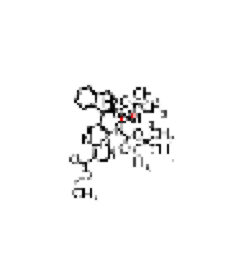 CCOC(=O)c1cnn2c(N(C(=O)OC(C)(C)C)C(=O)OC(C)(C)C)c(-c3c(OC)ccc4ccccc34)cnc12